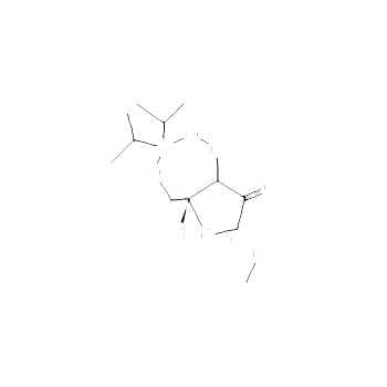 CO[C@@H]1O[C@@H]2CO[Si](C(C)C)(C(C)C)OOC2C1=O